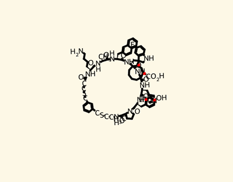 C[C@H]1NC(=O)[C@H](CCCCN)NC(=O)CCSCc2cccc(c2)CSCCNC(=O)[C@]2(C)CCCN2C(=O)[C@H](Cc2ccc(O)cc2)NC(=O)[C@H](Cc2cnc[nH]2)NC(=O)[C@H](CC(=O)O)NC(=O)[C@H](CC2(C3CCCCCCCC3)CNc3ccc(F)cc32)NC(=O)[C@H](Cc2ccc3ccccc3c2)NC1=O